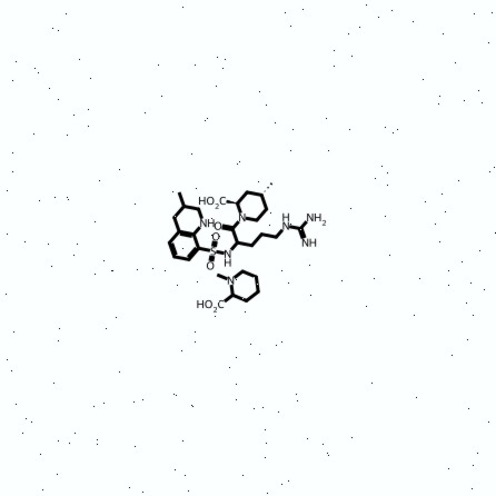 CC1CNc2c(cccc2S(=O)(=O)NC(CCCNC(=N)N)C(=O)N2CC[C@@H](C)C[C@@H]2C(=O)O)C1.CN1CCCCC1C(=O)O